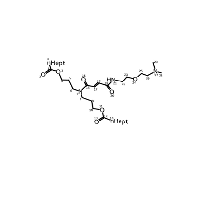 CCCCCCCC(=O)OCCCN(CCCOC(=O)CCCCCCC)C(=O)C=CC(=O)NCCOCCN(C)C